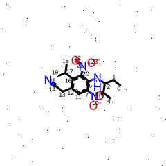 CCC(CC)Nc1c([N+](=O)[O-])cc(CC#N)c(C(C)C)c1[N+](=O)[O-]